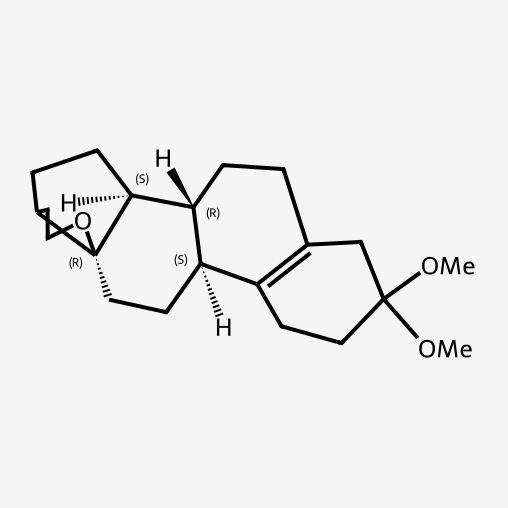 COC1(OC)CCC2=C(CC[C@@H]3[C@@H]2CC[C@@]24OCCC2CC[C@@H]34)C1